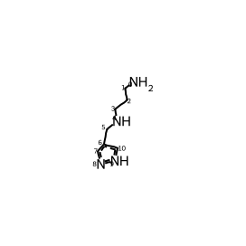 NCCCNCc1cn[nH]c1